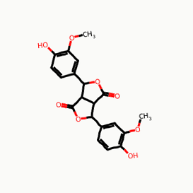 COc1cc(C2OC(=O)C3C(c4ccc(O)c(OC)c4)OC(=O)C23)ccc1O